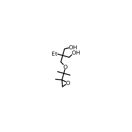 CCC(CO)(CO)COC(C)(C)C1(C)CO1